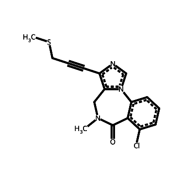 CSCC#Cc1ncn2c1CN(C)C(=O)c1c(Cl)cccc1-2